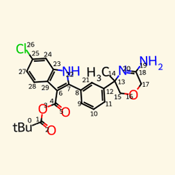 CC(C)(C)C(=O)OC(=O)c1c(-c2cccc(C3(C)COCC(N)=N3)c2)[nH]c2cc(Cl)ccc12